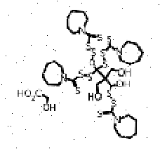 O=C(O)CO.OCC(CO)(C(O)SSC(=S)N1CCCCCC1)C(OSSC(=S)N1CCCCCC1)(SSC(=S)N1CCCCCC1)SSC(=S)N1CCCCCC1